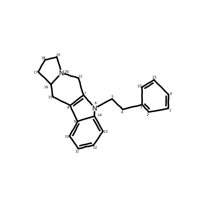 c1ccc(CCn2c3c(c4ccccc42)CC2CCCN2C3)cc1